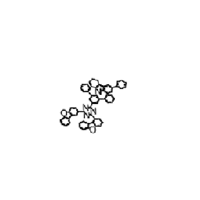 C1=Cc2c(c3cc(-c4ccccc4)ccc3n2-c2c(-c3ccccc3)cc(-c3nc(-c4ccc5oc6ccccc6c5c4)nc(-c4cccc5oc6ccccc6c45)n3)cc2-c2ccccc2)CC1